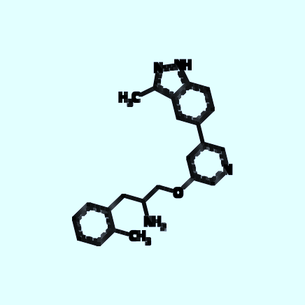 Cc1ccccc1CC(N)COc1cncc(-c2ccc3[nH]nc(C)c3c2)c1